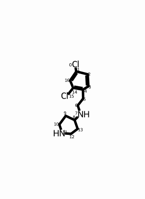 Clc1ccc(CCNC2CCNCC2)c(Cl)c1